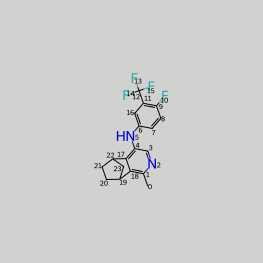 Cc1ncc(Nc2ccc(F)c(C(F)(F)F)c2)c2c1C1CCC2C1